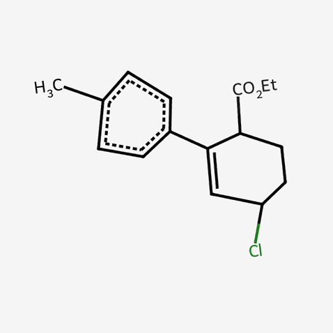 CCOC(=O)C1CCC(Cl)C=C1c1ccc(C)cc1